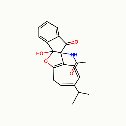 CC(=O)NC12C(=O)c3ccccc3C1(O)OC1=C2C=CC(C(C)C)=CC1